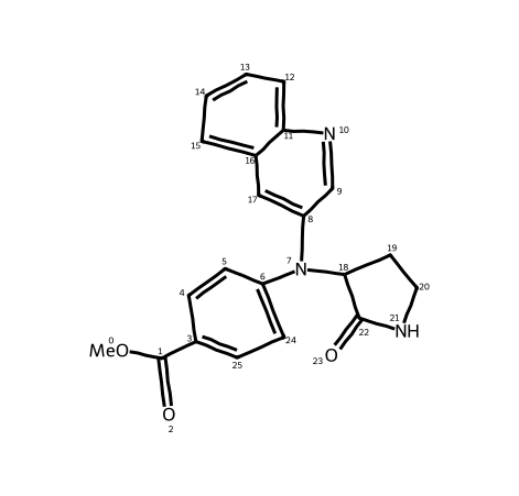 COC(=O)c1ccc(N(c2cnc3ccccc3c2)C2CCNC2=O)cc1